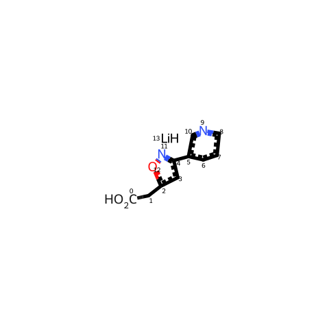 O=C(O)Cc1cc(-c2cccnc2)no1.[LiH]